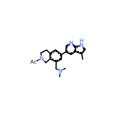 CC(=O)N1CCc2cc(-c3cnc4[nH]cc(C)c4c3)cc(CN(C)C)c2C1